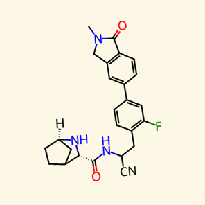 CN1Cc2cc(-c3ccc(CC(C#N)NC(=O)[C@H]4N[C@@H]5CCC4C5)c(F)c3)ccc2C1=O